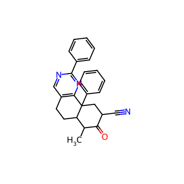 CC1C(=O)C(C#N)CC2(c3ccccc3)c3nc(-c4ccccc4)ncc3CCC12